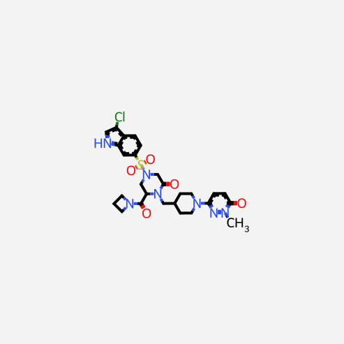 Cn1nc(N2CCC(CN3C(=O)CN(S(=O)(=O)c4ccc5c(Cl)c[nH]c5c4)CC3C(=O)N3CCC3)CC2)ccc1=O